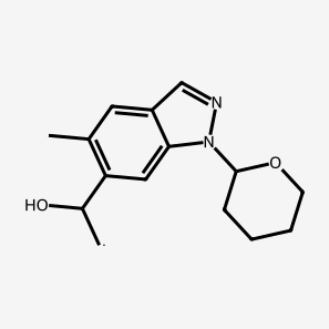 [CH2]C(O)c1cc2c(cnn2C2CCCCO2)cc1C